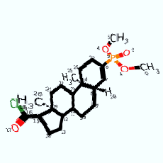 COP(=O)(OC)C1=C[C@@H]2CCC3C4CCC(C(=O)Cl)[C@@]4(C)CCC3[C@@]2(C)CC1